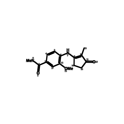 CNC(=O)c1ccc(NC2=C(C)C(=O)CC2)c(OC)c1